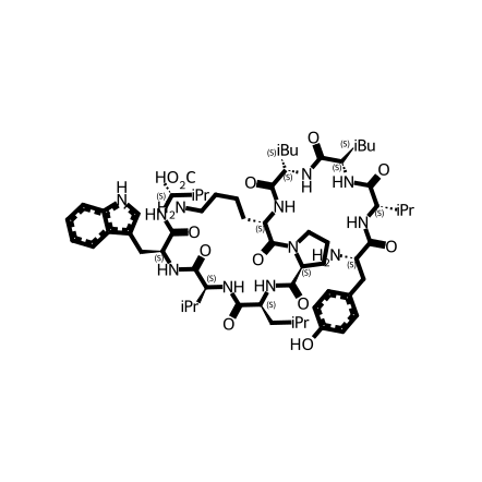 CC[C@H](C)[C@H](NC(=O)[C@@H](NC(=O)[C@@H](N)Cc1ccc(O)cc1)C(C)C)C(=O)N[C@H](C(=O)N[C@@H](CCCCN)C(=O)N1CCC[C@H]1C(=O)N[C@@H](CC(C)C)C(=O)N[C@H](C(=O)N[C@@H](Cc1c[nH]c2ccccc12)C(=O)N[C@H](C(=O)O)C(C)C)C(C)C)[C@@H](C)CC